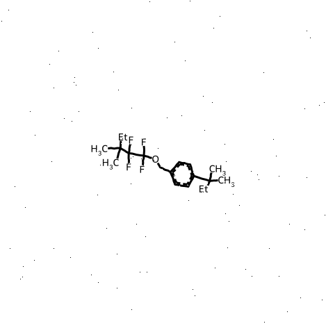 CCC(C)(C)c1ccc(COC(F)(F)C(F)(F)C(C)(C)CC)cc1